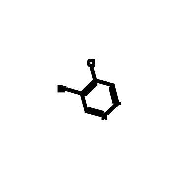 Clc1c[c]ncc1Br